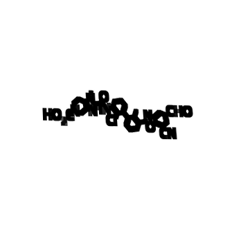 Cc1c(-c2nc3cc(C=O)cc(C#N)c3o2)cccc1-c1cccc(NC(=O)c2nc3c(n2C)CCN(C(=O)O)C3)c1Cl